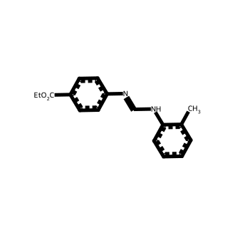 CCOC(=O)c1ccc(N=CNc2ccccc2C)cc1